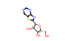 OC[C@H]1OC(c2nc3ncncc3s2)[C@H](O)[C@@H]1O